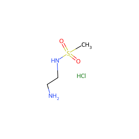 CS(=O)(=O)NCCN.Cl